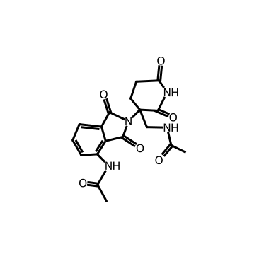 CC(=O)NCC1(N2C(=O)c3cccc(NC(C)=O)c3C2=O)CCC(=O)NC1=O